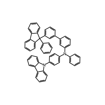 c1ccc(N(c2ccc(-n3c4ccccc4c4ccccc43)cc2)c2cccc(-c3cccc(C4(c5ccccc5)c5ccccc5-c5ccccc54)c3)c2)cc1